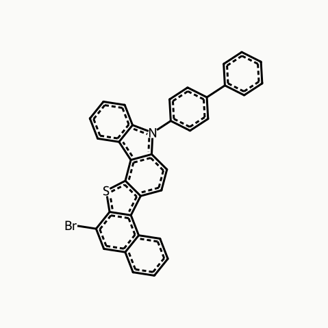 Brc1cc2ccccc2c2c1sc1c2ccc2c1c1ccccc1n2-c1ccc(-c2ccccc2)cc1